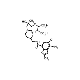 Cc1cc2c(N)c(Cl)cc(C(=O)NCC3CCN(CC(C)(O)COC(C(=O)O)C(O)C(=O)O)CC3)c2o1